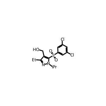 [CH2]Cc1nn(C(C)C)c(S(=O)(=O)c2cc(Cl)cc(Cl)c2)c1CO